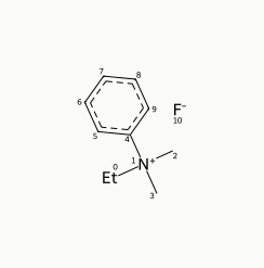 CC[N+](C)(C)c1ccccc1.[F-]